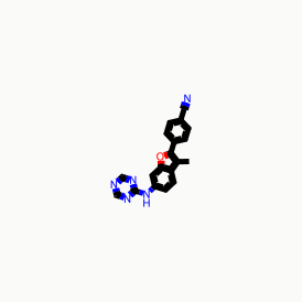 Cc1c(-c2ccc(C#N)cc2)oc2cc(Nc3ncncn3)ccc12